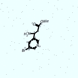 COC(=O)CC(N)c1cncc(Br)c1